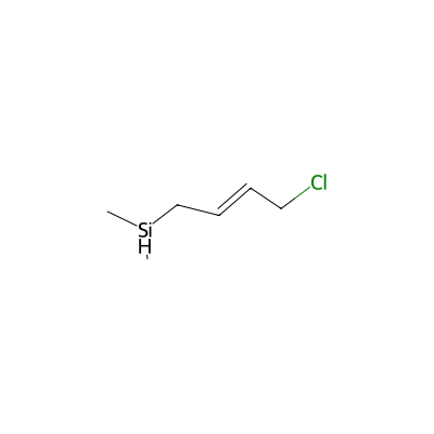 C[SiH](C)CC=CCCl